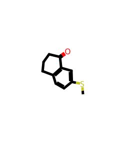 CSc1ccc2c(c1)C(=O)CCC2